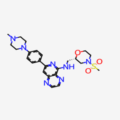 CN1CCN(c2ccc(-c3cc4nccnc4c(NC[C@H]4CN(S(C)(=O)=O)CCO4)n3)cc2)CC1